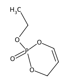 CCOP1(=O)OC=CCO1